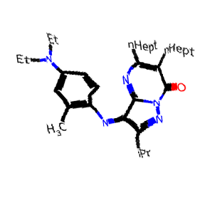 CCCCCCCc1nc2n(c(=O)c1CCCCCCC)N=C(C(C)C)C2=Nc1ccc(N(CC)CC)cc1C